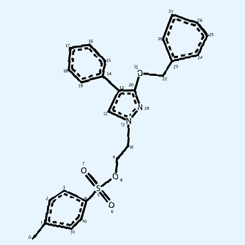 Cc1ccc(S(=O)(=O)OCCn2cc(-c3ccccc3)c(OCc3ccccc3)n2)cc1